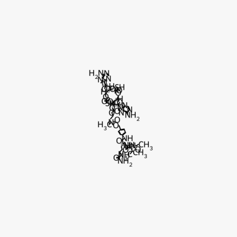 CCC(=O)N[C@H](C(=O)N[C@@H](CCCNC(N)=O)C(=O)Nc1ccc(COC(=O)N(C)CCOC(=O)O[C@@H]2[C@@H]3O[P@](=O)(S)OC[C@H]4O[C@@H](n5cnc6c(N)ncnc65)C[C@@H]4O[P@](=O)(S)OC[C@H]3O[C@H]2n2cnc3c(N)ncnc32)cc1)C(C)C